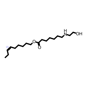 CC/C=C\CCCCCOC(=O)CCCCCCNCCO